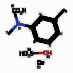 Cc1cccc(N(C)C(=O)O)c1.O=S(=O)(O)O.[Cu]